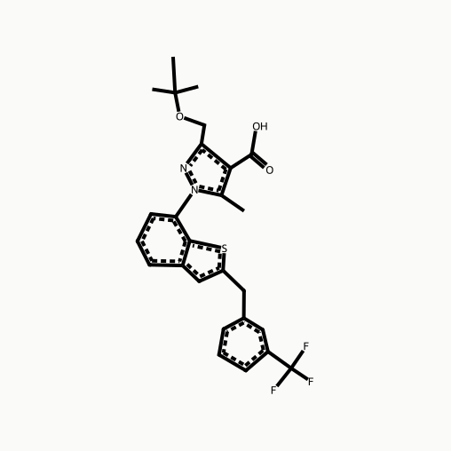 Cc1c(C(=O)O)c(COC(C)(C)C)nn1-c1cccc2cc(Cc3cccc(C(F)(F)F)c3)sc12